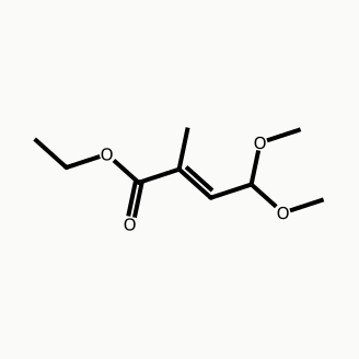 CCOC(=O)/C(C)=C/C(OC)OC